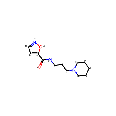 O=C(NCCCN1CCCCC1)c1ccno1